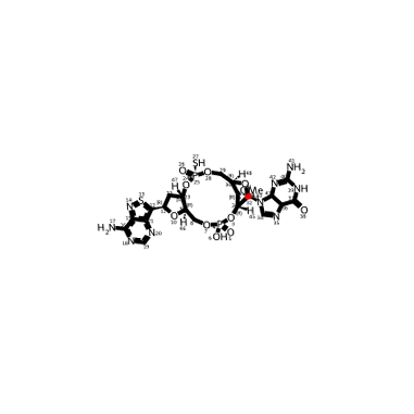 CO[C@H]1[C@H]2OP(=O)(O)OC[C@H]3O[C@@H](c4snc5c(N)ncnc45)C[C@@H]3O[P@](=O)(S)OC[C@H]1O[C@H]2N1C=NC2C(=O)NC(N)=NC21